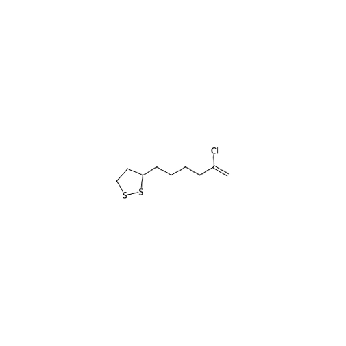 C=C(Cl)CCCCC1CCSS1